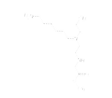 CC(C)(C)OC(=O)CNCCN(CCO)CCCCCCN